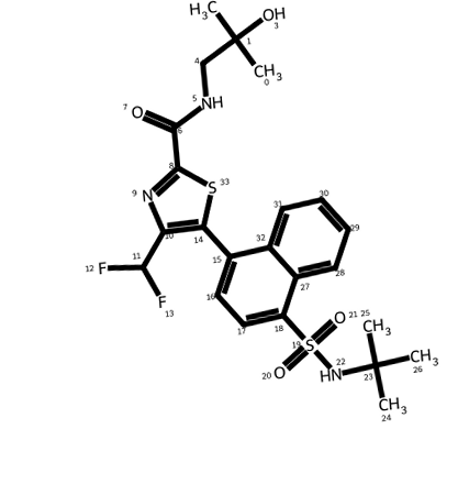 CC(C)(O)CNC(=O)c1nc(C(F)F)c(-c2ccc(S(=O)(=O)NC(C)(C)C)c3ccccc23)s1